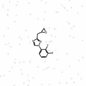 Fc1cccc(-n2cnc(CC3CO3)n2)c1F